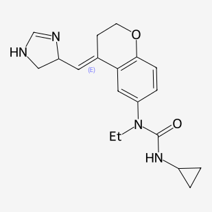 CCN(C(=O)NC1CC1)c1ccc2c(c1)/C(=C/C1CNC=N1)CCO2